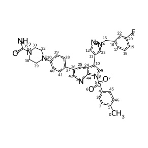 Cc1ccc(S(=O)(=O)n2cc(-c3cnn(Cc4cccc(F)c4)c3)c3cc(-c4ccc(N5CCN(C(N)=O)CC5)cc4)cnc32)cc1